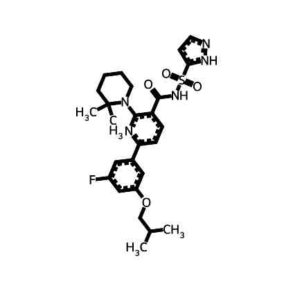 CC(C)COc1cc(F)cc(-c2ccc(C(=O)NS(=O)(=O)c3ccn[nH]3)c(N3CCCCC3(C)C)n2)c1